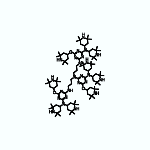 CC1(C)CC(Oc2nc(NCCCN(CCCNc3nc(OC4CC(C)(C)NC(C)(C)C4)nc(N(C4CC(C)(C)NC(C)(C)C4)C4CC(C)(C)NC(C)(C)C4)n3)c3nc(OC4CC(C)(C)NC(C)(C)C4)nc(N(C4CC(C)(C)NC(C)(C)C4)C4CC(C)(C)NC(C)(C)C4)n3)nc(N(C3CC(C)(C)NC(C)(C)C3)C3CC(C)(C)NC(C)(C)C3)n2)CC(C)(C)N1